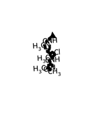 COc1cc(C(=O)Nc2cc(Cl)cc(CN3CCN(C(=O)NCC4CC4)C(C)C3)c2C)cnc1C